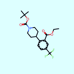 CCOC(=O)c1cc(C(F)(F)F)ccc1C1CCN(C(=O)OC(C)(C)C)CC1